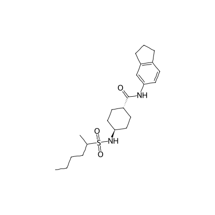 CCCCC(C)S(=O)(=O)N[C@H]1CC[C@H](C(=O)Nc2ccc3c(c2)CCC3)CC1